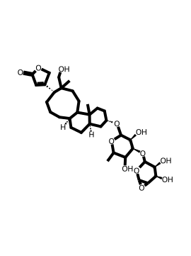 CC1OC(O[C@H]2CCC3(C)C4CCC(C)(CO)[C@@H](C5=CC(=O)OC5)CCC[C@@H]4CC[C@@H]3C2)[C@@H](O)[C@@H](OC2OC3OC3[C@H](O)[C@@H]2O)C1O